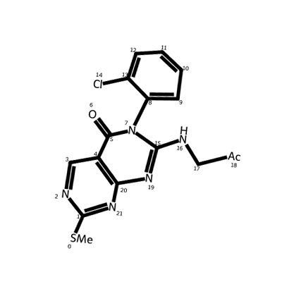 CSc1ncc2c(=O)n(-c3ccccc3Cl)c(NCC(C)=O)nc2n1